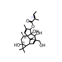 C/C=C(\C)C(=O)OC1C(C)=CC23C(=O)C(C=C(CO)C(O)C12O)C1C(C)(C)[C@]1(O)C[C@H]3C